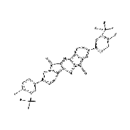 O=c1c2cc(-c3ccc(F)c(C(F)(F)F)c3)ccc2c2nc3c(=O)c4cc(-c5ccc(F)c(C(F)(F)F)c5)ccc4c3nc12